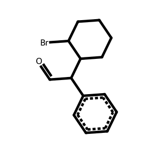 O=CC(c1ccccc1)C1CCCCC1Br